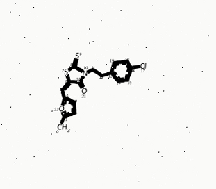 Cc1ccc(/C=C2/SC(=S)N(CCc3ccc(Cl)cc3)C2=O)o1